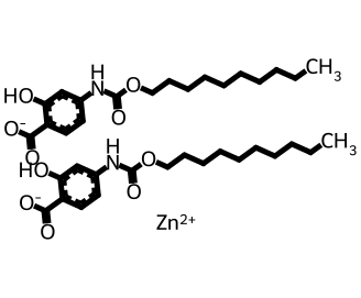 CCCCCCCCCCOC(=O)Nc1ccc(C(=O)[O-])c(O)c1.CCCCCCCCCCOC(=O)Nc1ccc(C(=O)[O-])c(O)c1.[Zn+2]